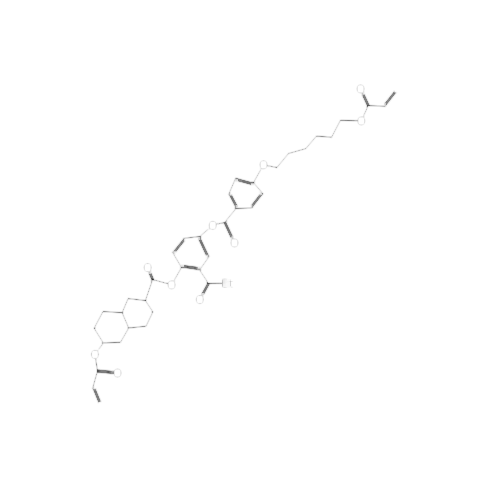 C=CC(=O)OCCCCCCOc1ccc(C(=O)Oc2ccc(OC(=O)C3CCC4CC(OC(=O)C=C)CCC4C3)c(C(=O)CC)c2)cc1